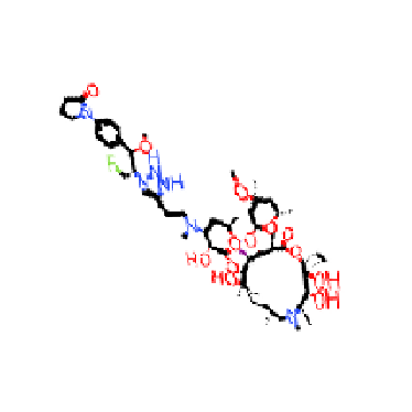 CC[C@H]1OC(=O)[C@H](C)[C@@H](O[C@H]2C[C@@](C)(OC)C[C@H](C)O2)[C@H](I)[C@@H](O[C@@H]2O[C@H](C)C[C@H](N(C)CCC3=CN([C@H](CF)[C@H](OC)c4ccc(N5CCCC5=O)cc4)NN3)[C@H]2O)[C@](C)(O)C[C@@H](C)CN(C)[C@H](C)[C@@H](O)[C@]1(C)O